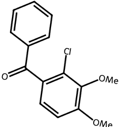 COc1ccc(C(=O)c2ccccc2)c(Cl)c1OC